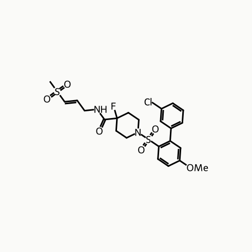 COc1ccc(S(=O)(=O)N2CCC(F)(C(=O)NC/C=C/S(C)(=O)=O)CC2)c(-c2cccc(Cl)c2)c1